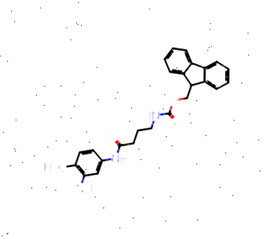 Cc1ccc(NC(=O)CCCNC(=O)OCC2c3ccccc3-c3ccccc32)cc1N